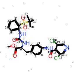 COC(=O)[C@H](Cc1ccc(NC(=O)c2c(Cl)cncc2Cl)cc1)NC(=O)Nc1ccccc1S(=O)(=O)C(C)(C)C